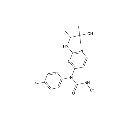 CCNC(=O)N(c1ccc(F)cc1)c1ccnc(NC(C)C(C)(C)O)n1